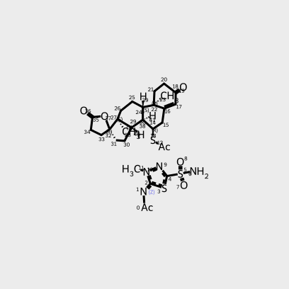 CC(=O)/N=c1\sc(S(N)(=O)=O)nn1C.CC(=O)S[C@@H]1CC2=CC(=O)CC[C@]2(C)[C@H]2CC[C@@]3(C)[C@@H](CC[C@@]34CCC(=O)O4)[C@H]12